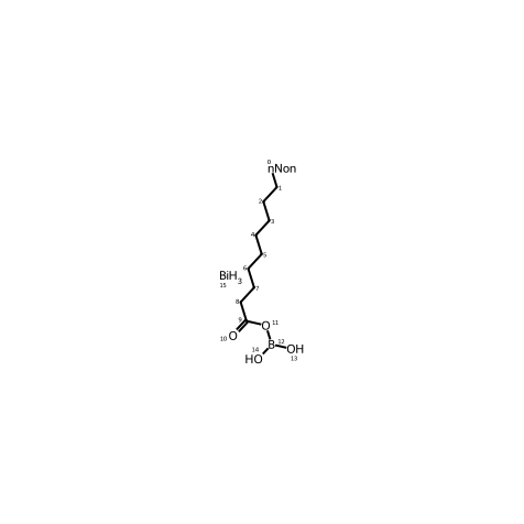 CCCCCCCCCCCCCCCCCC(=O)OB(O)O.[BiH3]